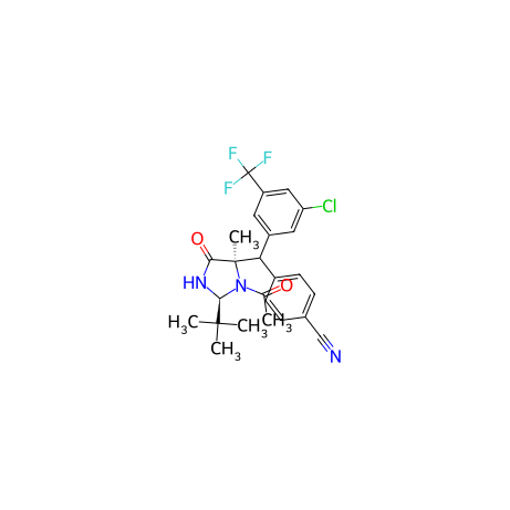 CC(=O)N1[C@@H](C(C)(C)C)NC(=O)[C@@]1(C)C(c1ccc(C#N)cc1)c1cc(Cl)cc(C(F)(F)F)c1